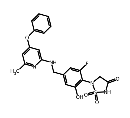 Cc1cc(Oc2ccccc2)cc(NCc2cc(O)c(N3CC(=O)NS3(=O)=O)c(F)c2)n1